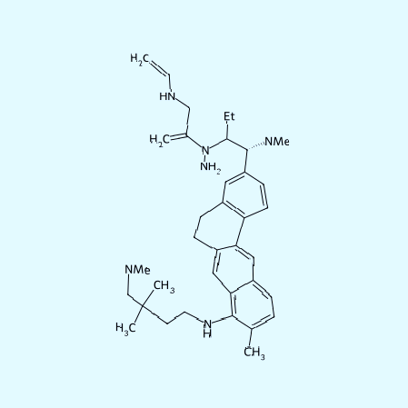 C=CNCC(=C)N(N)C(CC)[C@H](NC)c1ccc2c(c1)CCc1cc3c(NCCC(C)(C)CNC)c(C)ccc3cc1-2